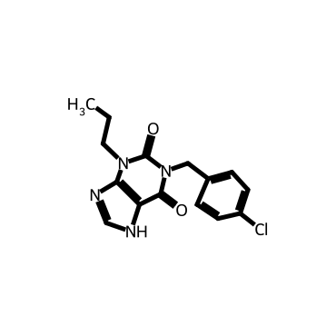 CCCn1c(=O)n(Cc2ccc(Cl)cc2)c(=O)c2[nH]cnc21